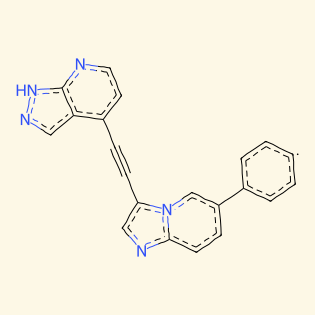 C(#Cc1cnc2ccc(-c3cc[c]cc3)cn12)c1ccnc2[nH]ncc12